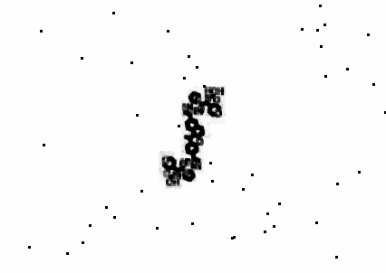 CC1c2ccc(-c3cnc([C@@H]4CCCN4C(=O)C(NC(=O)O)C4CCOCC4)[nH]3)cc2Oc2ccc3cc(-c4cnc([C@@H]5CCCN5C(=O)C(NC(=O)O)C5CCOCC5)[nH]4)ccc3c21